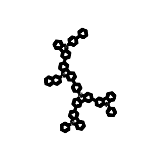 c1ccc(-c2ccc(-n3c4ccccc4c4cc(-c5ccc6c(c5)c5ccc(-c7ccc(-n8c9ccc(-c%10ccc%11c(c%10)c%10ccccc%10n%11-c%10ccccc%10)cc9c9cc(-c%10ccc%11c(c%10)c%10ccccc%10n%11-c%10ccccc%10)ccc98)cc7)cc5n6-c5ccc6ccccc6c5)ccc43)cc2)cc1